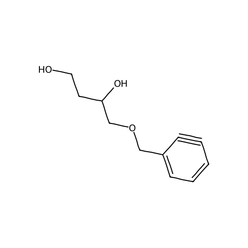 OCCC(O)COCc1c#cccc1